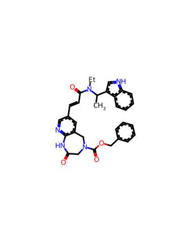 CCN(C(=O)C=Cc1cnc2c(c1)CN(C(=O)OCc1ccccc1)CC(=O)N2)C(C)c1c[nH]c2ccccc12